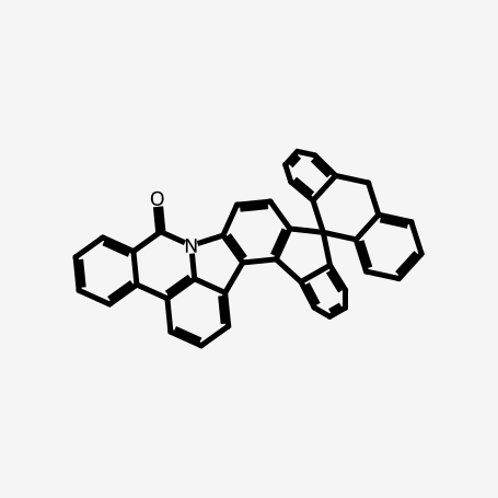 O=c1c2ccccc2c2cccc3c4c5c(ccc4n1c23)C1(c2ccccc2Cc2ccccc21)c1ccccc1-5